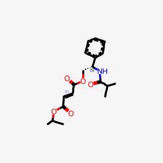 CC(C)OC(=O)/C=C/C(=O)OC[C@@H](NC(=O)C(C)C)c1ccccc1